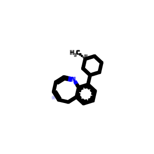 C[C@@H]1CCCC(c2cccc3c2N=C=C/C=C\C3)C1